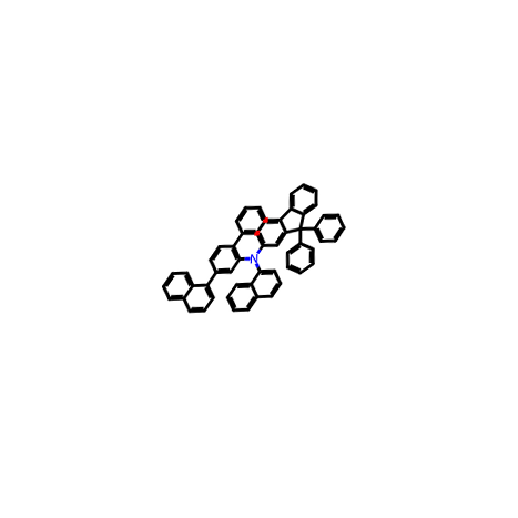 c1ccc(-c2ccc(-c3cccc4ccccc34)cc2N(c2ccc3c(c2)C(c2ccccc2)(c2ccccc2)c2ccccc2-3)c2cccc3ccccc23)cc1